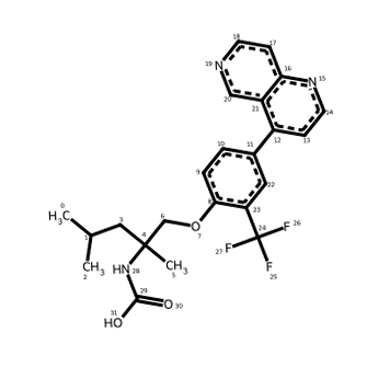 CC(C)CC(C)(COc1ccc(-c2ccnc3ccncc23)cc1C(F)(F)F)NC(=O)O